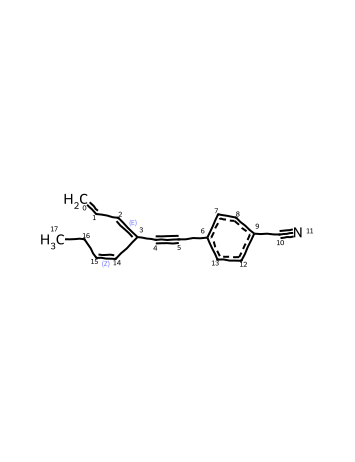 C=C/C=C(C#Cc1ccc(C#N)cc1)\C=C/CC